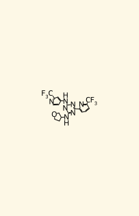 FC(F)(F)c1cc(Nc2nc(NC3CCOC3)nc(-c3cccc(C(F)(F)F)n3)n2)ccn1